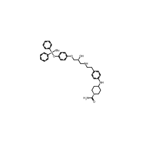 CC(C)(C)[Si](Oc1ccc(OC[C@@H](O)CNCCc2ccc(NC3CCN(C(N)=O)CC3)cc2)cc1)(c1ccccc1)c1ccccc1